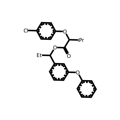 CCC(OC(=O)C(Oc1ccc(Cl)cc1)C(C)C)c1cccc(Oc2ccccc2)c1